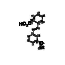 CCOc1cccc(C=Cc2ccccc2C(=O)O)c1